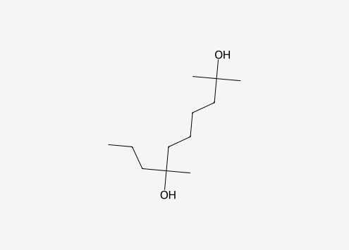 CCCC(C)(O)CCCCC(C)(C)O